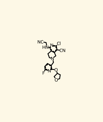 N#CCNc1nc(Cl)c(C#N)c2c1CCN(Cc1ccc(F)nc1OC1CCOC1)C2